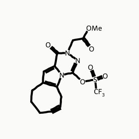 COC(=O)Cn1nc(OS(=O)(=O)C(F)(F)F)n2c3c(cc2c1=O)CCCC#CC3